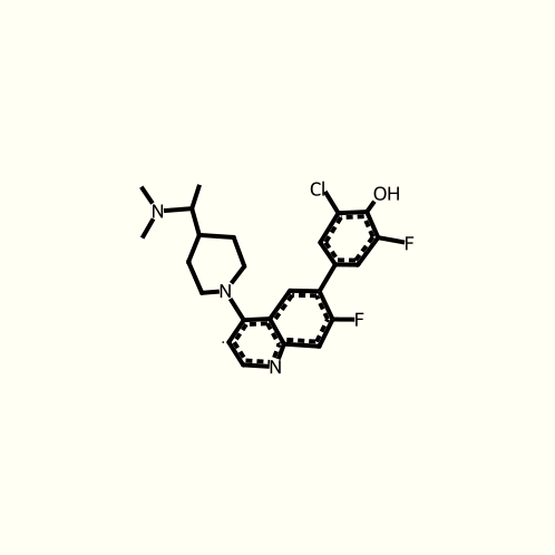 CC(C1CCN(c2[c]cnc3cc(F)c(-c4cc(F)c(O)c(Cl)c4)cc23)CC1)N(C)C